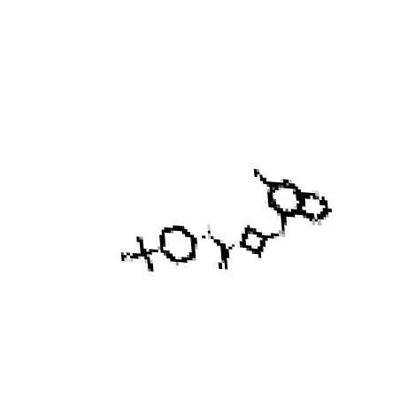 CC(C)(O)[C@H]1CC[C@H](NC(=O)[C@H]2C[C@H](Oc3cc(F)cc4scnc34)C2)CC1